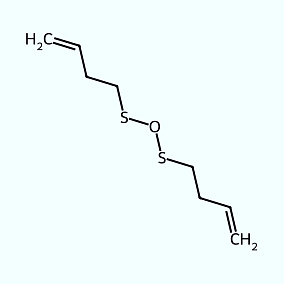 C=CCCSOSCCC=C